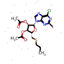 CCCSC[C@H]1O[C@@H](n2cnc3c(Cl)nc(I)nc32)[C@H](OC(C)=O)[C@@H]1OC(C)=O